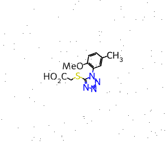 COc1ccc(C)cc1-n1nnnc1SCC(=O)O